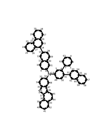 c1ccc(-c2cc(N(c3ccc4cc(-c5cc6ccccc6c6ccccc56)ccc4c3)c3ccc4sc5c6ccccc6ccc5c4c3)ccc2-c2ccc3ccccc3c2)cc1